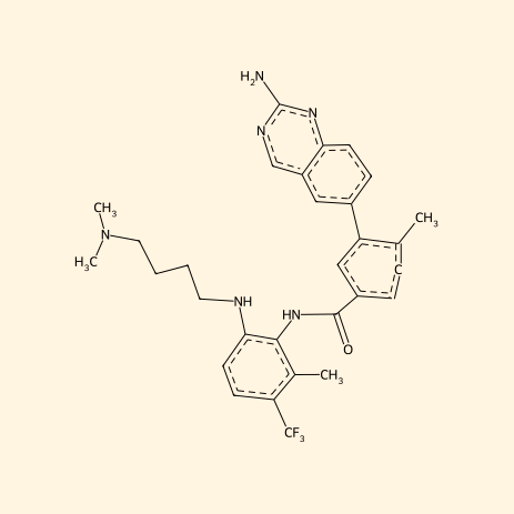 Cc1ccc(C(=O)Nc2c(NCCCCN(C)C)ccc(C(F)(F)F)c2C)cc1-c1ccc2nc(N)ncc2c1